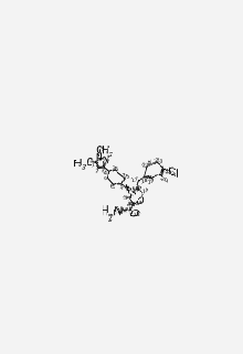 Cc1cc(C2CCC(N3C[C@H](C(N)=O)OC[C@@H]3CC3=CC=C(Cl)CC3)CC2)nn1C